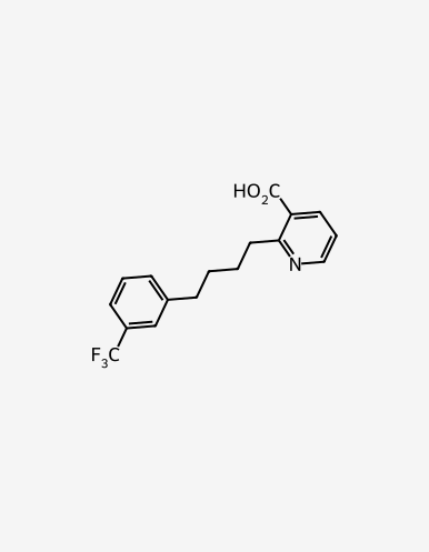 O=C(O)c1cccnc1CCCCc1cccc(C(F)(F)F)c1